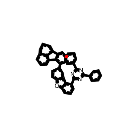 c1ccc(-c2nc(-c3ccccc3)nc(-c3cccc4oc5ccc(-c6cccc7c6-c6cccc8cccc-7c68)cc5c34)n2)cc1